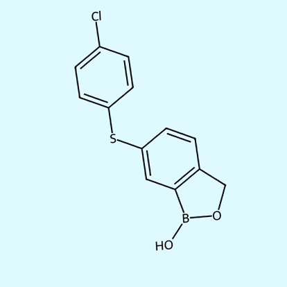 OB1OCc2ccc(Sc3ccc(Cl)cc3)cc21